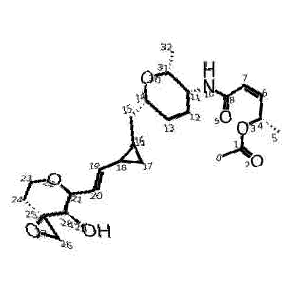 CC(=O)O[C@@H](C)/C=C\C(=O)N[C@@H]1CC[C@H](CC2CC2/C=C/C2OCC[C@@]3(CO3)[C@@H]2O)O[C@@H]1C